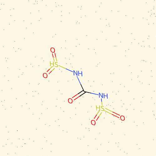 O=C(N[SH](=O)=O)N[SH](=O)=O